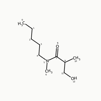 CCCCCN(C)C(=O)C(C)CO